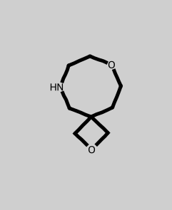 C1COCCC2(CN1)COC2